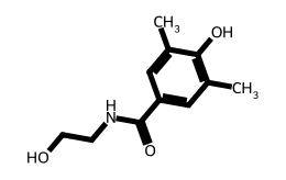 Cc1cc(C(=O)NCCO)cc(C)c1O